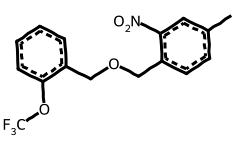 Cc1ccc(COCc2ccccc2OC(F)(F)F)c([N+](=O)[O-])c1